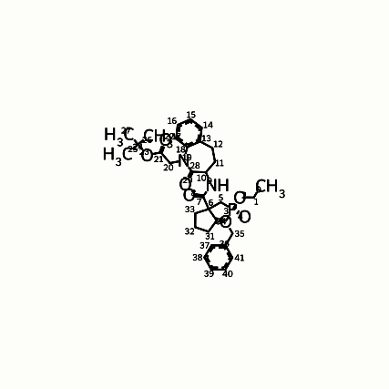 CCOP(=O)(CC1(C(=O)NC2CCc3ccccc3N(CC(=O)OC(C)(C)C)C2=O)CCCC1)OCc1ccccc1